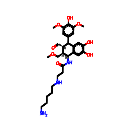 COC[C@@H]1[C@H](NC(=O)CCNCCCCCN)c2cc(O)c(O)cc2C(c2cc(OC)c(O)c(OC)c2)[C@H]1C=O